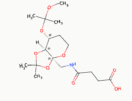 COC(C)(C)O[C@@H]1CCO[C@@]2(CNC(=O)CCC(=O)O)OC(C)(C)O[C@@H]12